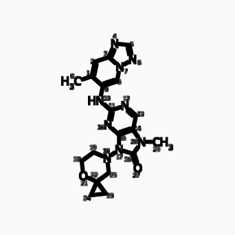 Cc1cc2ncnn2cc1Nc1ncc2c(n1)n(N1CCOC3(CC3)C1)c(=O)n2C